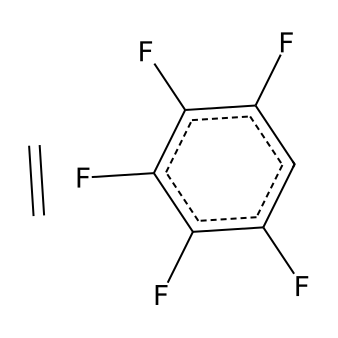 C=C.Fc1cc(F)c(F)c(F)c1F